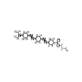 CCCCOC(=O)c1ccc(N=Nc2ccc(N=Nc3ccc(N(CC)CC)cc3)cc2)cc1